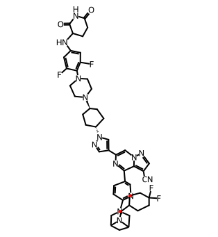 N#Cc1cnn2cc(-c3cnn([C@H]4CC[C@H](N5CCN(c6c(F)cc(NC7CCC(=O)NC7=O)cc6F)CC5)CC4)c3)nc(-c3ccc(N4CC5CC(C4)N5CC4CCC(F)(F)CC4)nc3)c12